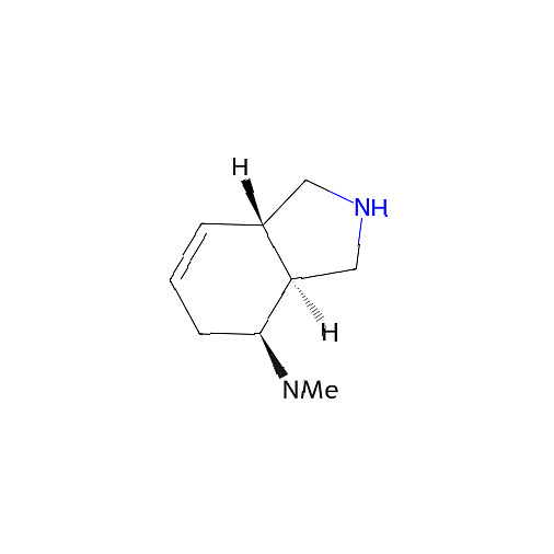 CN[C@H]1CC=C[C@@H]2CNC[C@H]21